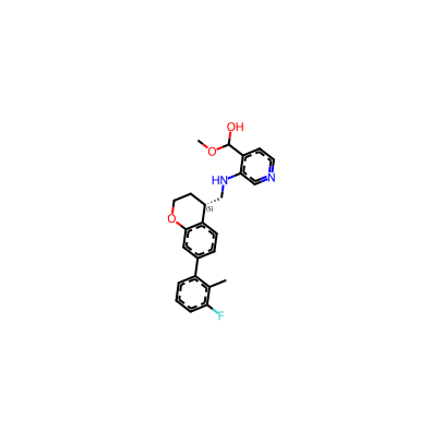 COC(O)c1ccncc1NC[C@H]1CCOc2cc(-c3cccc(F)c3C)ccc21